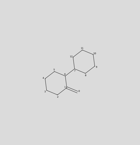 C=C1CCCCC1C1CCCCC1